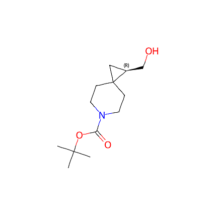 CC(C)(C)OC(=O)N1CCC2(CC1)C[C@H]2CO